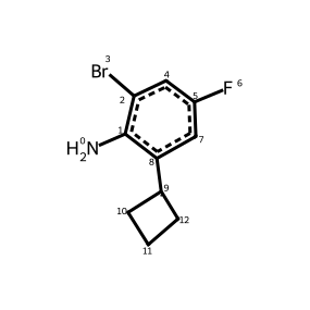 Nc1c(Br)cc(F)cc1[C]1CCC1